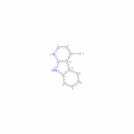 Ic1ccnc2[nH]c3ccccc3c12